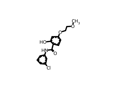 COCCOc1ccc(C(=O)Nc2cccc(Cl)c2)c(O)c1